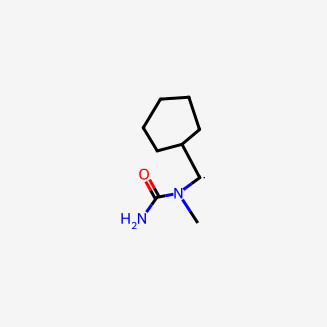 CN([CH]C1CCCCC1)C(N)=O